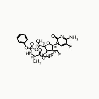 CC(C)OC(=O)[C@H](C)NP(=O)(Oc1ccccc1)O[C@@H](C)[C@H]1O[C@@H](n2cc(F)c(N)nc2=O)[C@@](F)(CF)C1O